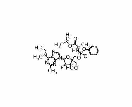 CCN(C)c1nc(C)nc2c1ncn2[C@@H]1O[C@](CCl)(CO[P@@](=O)(N[C@@H](C)C(=O)OC(C)C)Oc2ccccc2)[C@@H](O)[C@H]1F